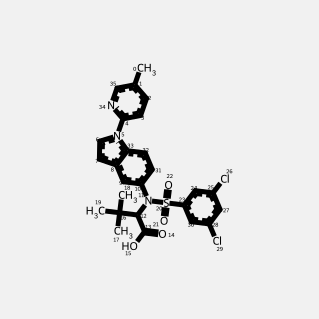 Cc1ccc(-n2ccc3cc(N(C(C(=O)O)C(C)(C)C)S(=O)(=O)c4cc(Cl)cc(Cl)c4)ccc32)nc1